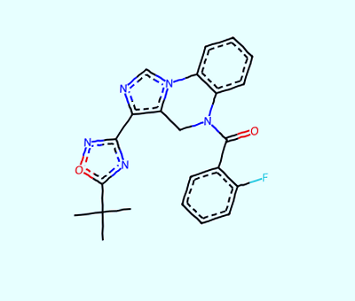 CC(C)(C)c1nc(-c2ncn3c2CN(C(=O)c2ccccc2F)c2ccccc2-3)no1